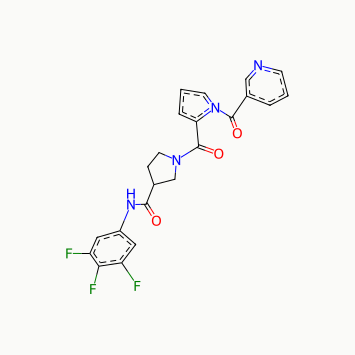 O=C(Nc1cc(F)c(F)c(F)c1)C1CCN(C(=O)c2cccn2C(=O)c2cccnc2)C1